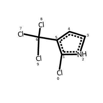 Clc1[nH]ccc1C(Cl)(Cl)Cl